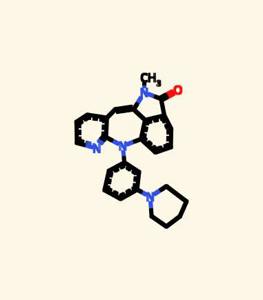 CN1C(=O)c2cccc3c2C1=Cc1cccnc1N3c1cccc(N2CCCCC2)c1